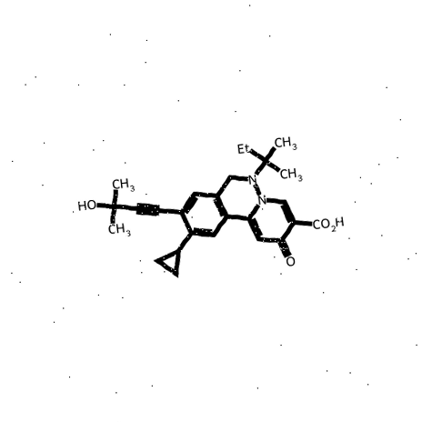 CCC(C)(C)N1Cc2cc(C#CC(C)(C)O)c(C3CC3)cc2-c2cc(=O)c(C(=O)O)cn21